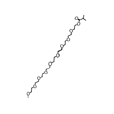 COCCOCCOCCOCCOCCOCCOCCOCCOCCOC(=O)C(C)C